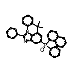 CC1(C)c2ccccc2-n2c(-c3ccccc3)nc3cc(P(=O)(c4ccccc4)c4cccc5ccccc45)cc1c32